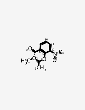 COC(C)Oc1c(C=O)cccc1[N+](=O)[O-]